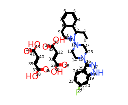 CCC1C2C=CC=CC2CCN1N1CCN(c2n[nH]c3cc(F)ccc23)CC1.O=C(O)/C=C/C(=O)O.O=C(O)/C=C/C(=O)O